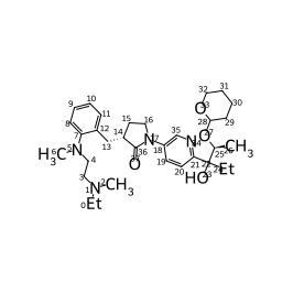 CCN(C)CCN(C)c1ccccc1C[C@@H]1CCN(c2ccc(C(O)(CC)[C@H](C)OC3CCCCO3)nc2)C1=O